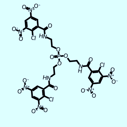 O=C(NCCOP(=O)(OCCNC(=O)c1cc([N+](=O)[O-])cc([N+](=O)[O-])c1Cl)OCCNC(=O)c1cc([N+](=O)[O-])cc([N+](=O)[O-])c1Cl)c1cc([N+](=O)[O-])cc([N+](=O)[O-])c1Cl